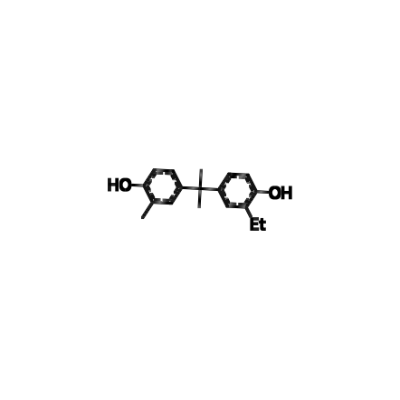 CCc1cc(C(C)(C)c2ccc(O)c(C)c2)ccc1O